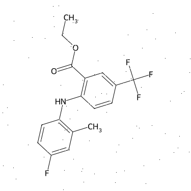 CCOC(=O)c1cc(C(F)(F)F)ccc1Nc1ccc(F)cc1C